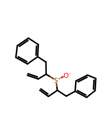 C=CC(Cc1ccccc1)[S+]([O-])C(C=C)Cc1ccccc1